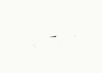 O=C1CO[C@@H](c2ccc(Br)cc2)CN1